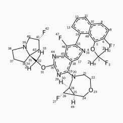 [2H]C([2H])(F)Oc1c(F)ccc2cccc(-c3ncc4c(N5CCOC[C@H]6[C@H](F)[C@H]65)nc(OC([2H])([2H])[C@@]56CCCN5C[C@H](F)C6)nc4c3F)c12